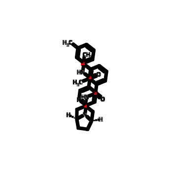 COc1cccc(C(=O)N[C@H]2C[C@H]3CC[C@@H](C2)N3c2ccc(C(=O)Nc3cccc(C)c3)cn2)c1C